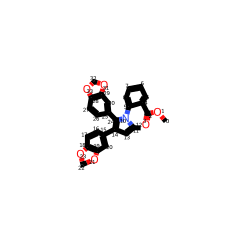 COC(=O)c1ccccc1-n1c(C)cc(-c2ccc3c(c2)OCO3)c1-c1ccc2c(c1)OCO2